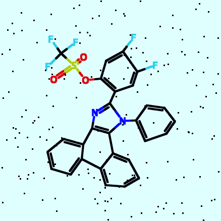 O=S(=O)(Oc1cc(F)c(F)cc1-c1nc2c3ccccc3c3ccccc3c2n1-c1ccccc1)C(F)(F)F